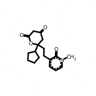 Cn1cccc(CCC2(C3CCCC3)CC(=O)CC(=O)O2)c1=O